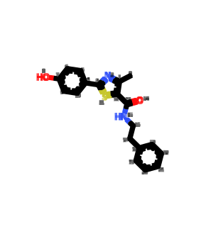 Cc1nc(-c2ccc(O)cc2)sc1C(=O)NCCc1ccccc1